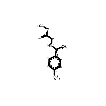 COC(=O)CNC(C)c1ccc(C)cc1